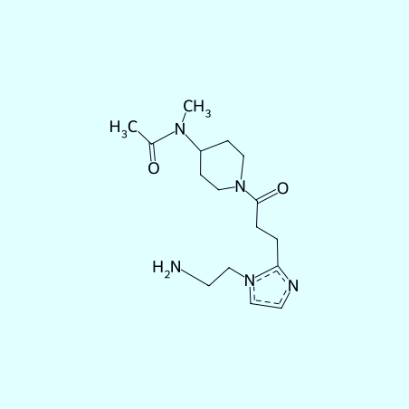 CC(=O)N(C)C1CCN(C(=O)CCc2nccn2CCN)CC1